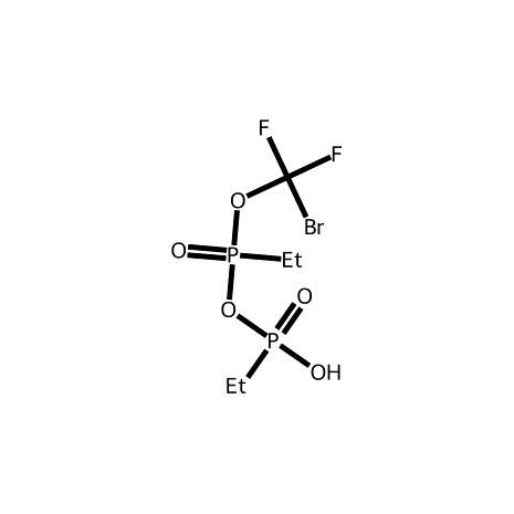 CCP(=O)(O)OP(=O)(CC)OC(F)(F)Br